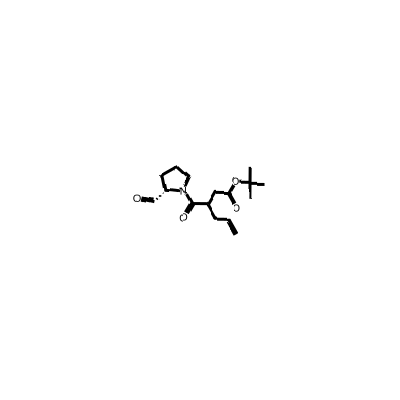 C=CCC(CC(=O)OC(C)(C)C)C(=O)N1CCC[C@H]1C=O